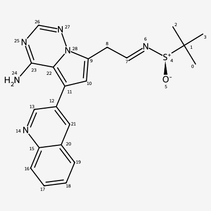 CC(C)(C)[S@@+]([O-])/N=C/Cc1cc(-c2cnc3ccccc3c2)c2c(N)ncnn12